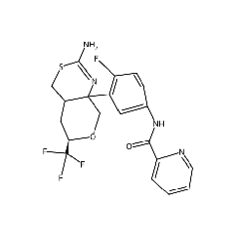 NC1=NC2(c3cc(NC(=O)c4ccccn4)ccc3F)CO[C@@H](C(F)(F)F)CC2CS1